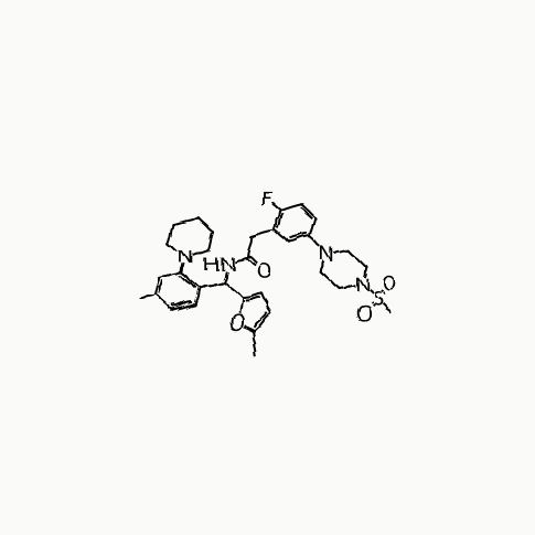 Cc1ccc(C(NC(=O)Cc2cc(N3CCN(S(C)(=O)=O)CC3)ccc2F)c2ccc(C)o2)c(N2CCCCC2)c1